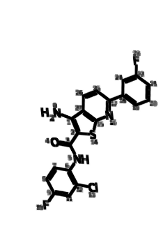 Nc1c(C(=O)Nc2ccc(F)cc2Cl)sc2nc(-c3cccc(F)c3)ccc12